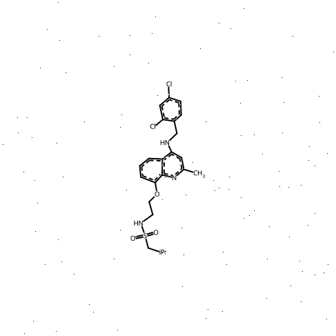 Cc1cc(NCc2ccc(Cl)cc2Cl)c2cccc(OCCNS(=O)(=O)CC(C)C)c2n1